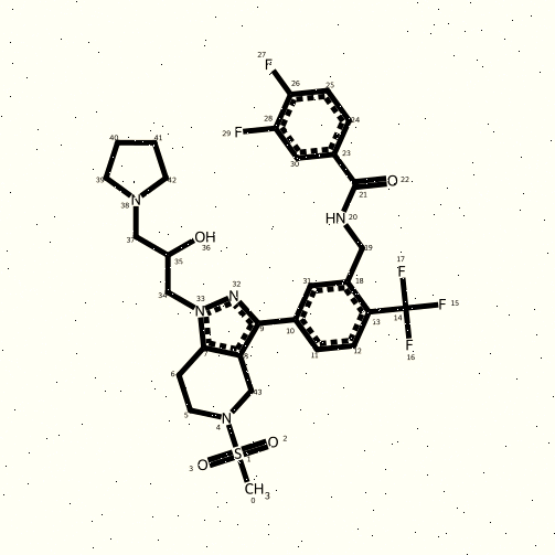 CS(=O)(=O)N1CCc2c(c(-c3ccc(C(F)(F)F)c(CNC(=O)c4ccc(F)c(F)c4)c3)nn2CC(O)CN2CCCC2)C1